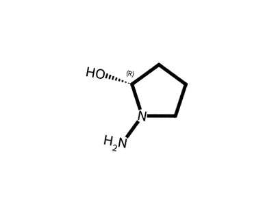 NN1CCC[C@H]1O